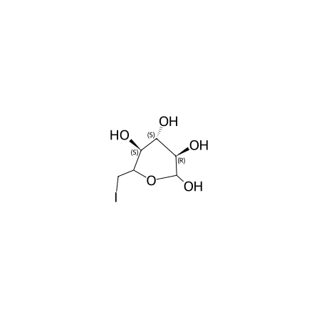 OC1OC(CI)[C@@H](O)[C@H](O)[C@H]1O